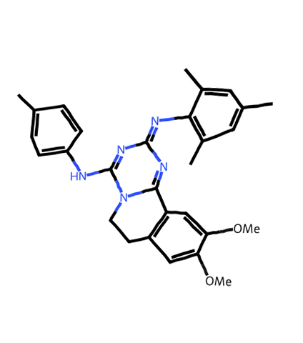 COc1cc2c(cc1OC)-c1nc(=Nc3c(C)cc(C)cc3C)nc(Nc3ccc(C)cc3)n1CC2